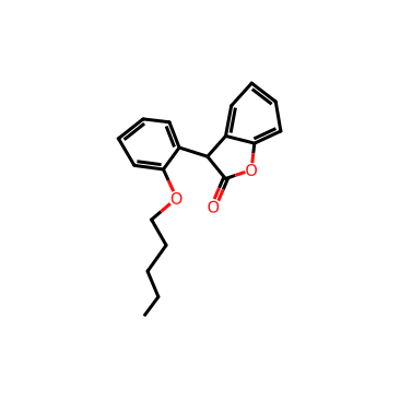 CCCCCOc1ccccc1C1C(=O)Oc2ccccc21